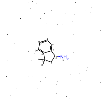 CC1(C)CC(N)c2ccccc21